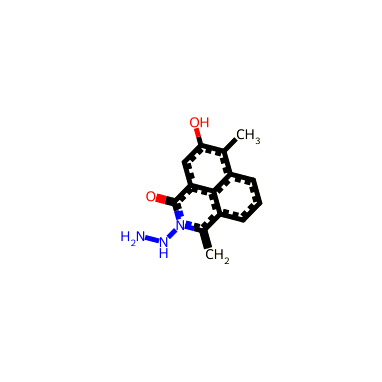 C=c1c2cccc3c(C)c(O)cc(c(=O)n1NN)c32